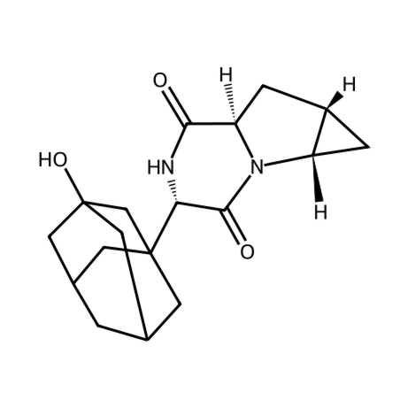 O=C1N[C@@H](C23CC4CC(CC(O)(C4)C2)C3)C(=O)N2[C@@H]1C[C@@H]1C[C@@H]12